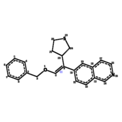 C(/OCc1ccccc1)=C(\c1ccc2cnccc2c1)C1CCSC1